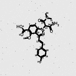 COc1c(C(=O)O)ccc2c1c(C=Cc1ccc(F)cc1)nn2C(C(N)=O)C(=O)N(C)C